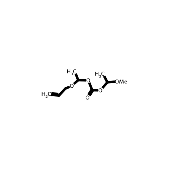 C=CCOC(C)OC(=O)OC(C)OC